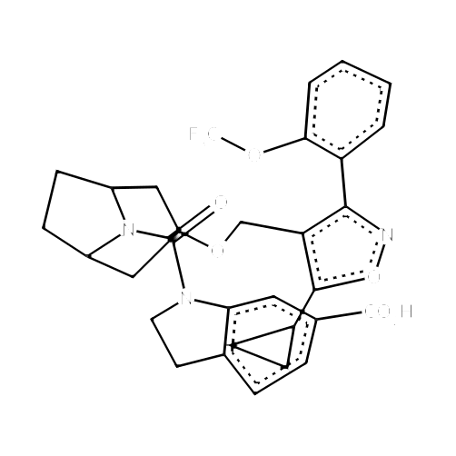 O=C(O)c1ccc2c(c1)N(C(=O)N1C3CCC1CC(OCc1c(-c4ccccc4OC(F)(F)F)noc1C1CC1)C3)CC2